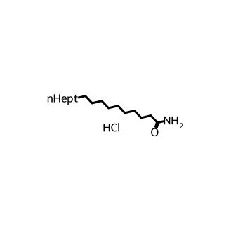 CCCCCCCCCCCCCCCCC(N)=O.Cl